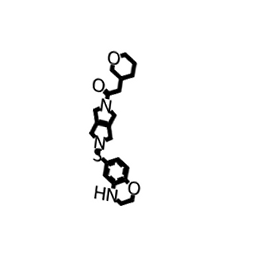 O=C(CC1CCCOC1)N1CC2=C(CN(Sc3ccc4c(c3)NCCO4)C2)C1